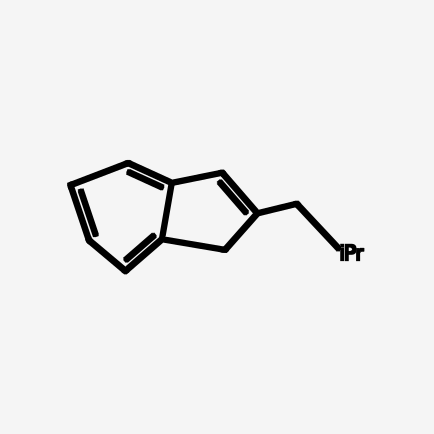 CC(C)CC1=Cc2ccccc2C1